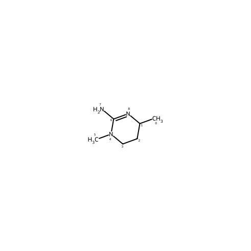 CC1CCN(C)C(N)=N1